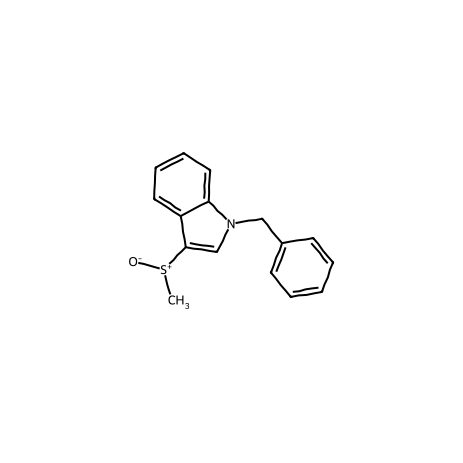 C[S+]([O-])c1cn(Cc2ccccc2)c2ccccc12